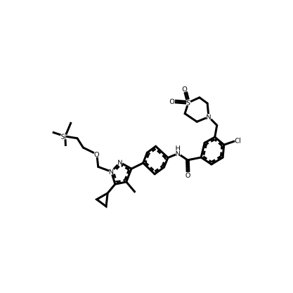 Cc1c(-c2ccc(NC(=O)c3ccc(Cl)c(CN4CCS(=O)(=O)CC4)c3)cc2)nn(COCC[Si](C)(C)C)c1C1CC1